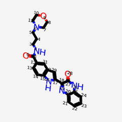 O=C(NCCCN1CCOCC1)c1ccc2[nH]c(-c3nc4ccccc4[nH]c3=O)cc2c1